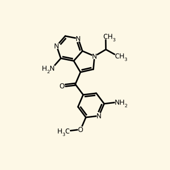 COc1cc(C(=O)c2cn(C(C)C)c3ncnc(N)c23)cc(N)n1